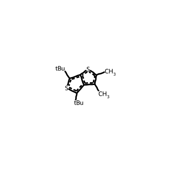 Cc1sc2c(C(C)(C)C)sc(C(C)(C)C)c2c1C